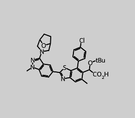 Cc1cc2nc(-c3ccc4c(c3)c(N3CC5CCC(C3)O5)nn4C)sc2c(-c2ccc(Cl)cc2)c1C(OC(C)(C)C)C(=O)O